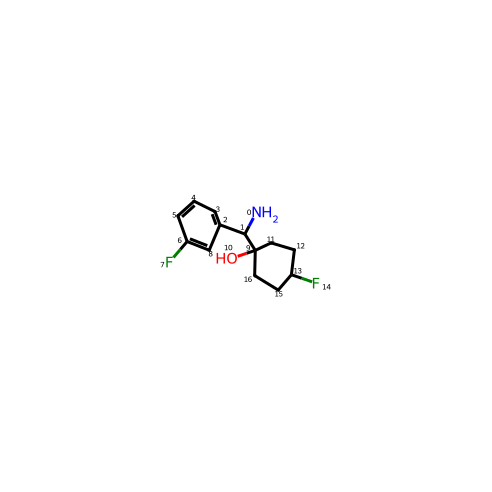 NC(c1cccc(F)c1)C1(O)CCC(F)CC1